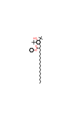 CCCCCCCCCCCCCCCCCCC(Cc1cc(C(C)(C)C)c(O)c(C(C)(C)C)c1)C(=O)Oc1ccccc1